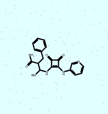 CC(C)(C)C(Nc1c(Nc2cccnc2)c(=O)c1=O)C(Cc1ccccc1)C(N)=O